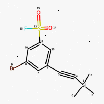 C[Si](C)(C)C#Cc1cc(Br)cc(S(=O)(=O)F)c1